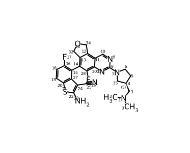 CN(C)C[C@@H]1CCN(c2ncc3c4c(c(-c5c(F)ccc6sc(N)c(C#N)c56)c(F)c3n2)COC4)C1